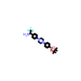 CC1(C)OB(c2ccc(N3CCN(c4ccc(C(N)C(F)(F)F)cc4)CC3)cc2)OC1(C)C